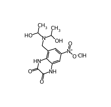 CC(O)N(Cc1cc([N+](=O)[O-])cc2[nH]c(=O)c(=O)[nH]c12)C(C)O.Cl